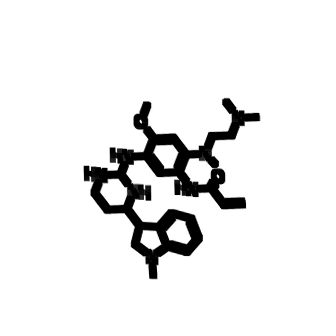 C=CC(=O)Nc1cc(NC2NCCC(C3CN(C)c4ccccc43)N2)c(OC)cc1N(C)CCN(C)C